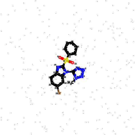 Cn1nnnc1-n1c(S(=O)(=O)c2ccccc2)nc2ccc(Br)cc21